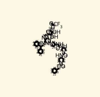 O=C(N[C@@H]1CCN(C(=O)NC2CCN(C(=O)OCc3ccccc3)CC2)C1)N[C@@H]1CCN(c2nc(NCC(c3ccccc3)c3ccccc3)c3ncn([C@@H]4O[C@H](COC(=O)C(F)(F)F)[C@@H](O)[C@H]4O)c3n2)C1